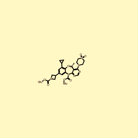 C[C@@H]1Oc2c(C3CC3)cc(C3CN(C(=O)OC(C)(C)C)C3)cc2N(C(=O)OC(C)(C)C)c2ncnc(N3CCS(=O)(=O)CC3)c21